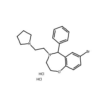 Brc1ccc2c(c1)C(c1ccccc1)N(CCN1CCCC1)CCO2.Cl.Cl